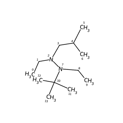 CCN(CC(C)C)N(CC)C(C)(C)C